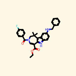 CCOC(=O)C1=CN(C(=O)c2ccc(F)cc2)CC(C)(C)c2c1[nH]c1ccc(NCc3ccccc3)cc21